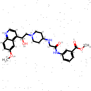 COC(=O)c1cccc(NC(=O)CNC2CCN(C[C@@H](O)c3ccnc4ccc(OC)cc34)CC2)c1